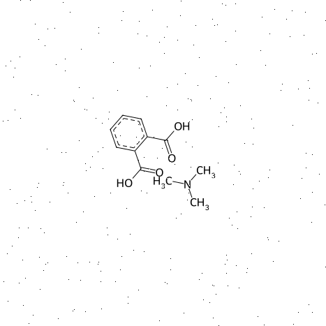 CN(C)C.O=C(O)c1ccccc1C(=O)O